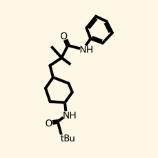 CC(C)(C)C(=O)NC1CCC(CC(C)(C)C(=O)Nc2ccccc2)CC1